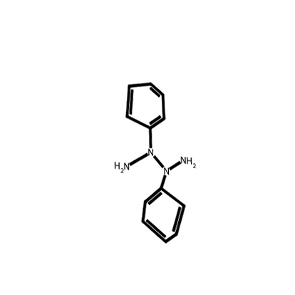 NN(c1ccccc1)N(N)c1ccccc1